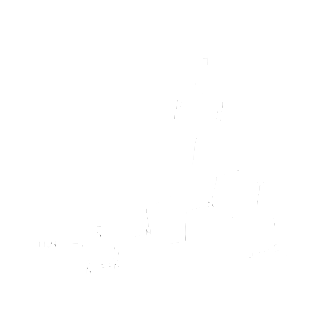 C[S+]([O-])CC1CN(C2CCN(c3nnc(N)[nH]3)CC2)C(Cc2ccc(Cl)cc2)CO1